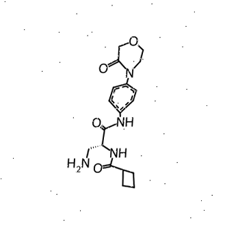 NC[C@@H](NC(=O)C1CCC1)C(=O)Nc1ccc(N2CCOCC2=O)cc1